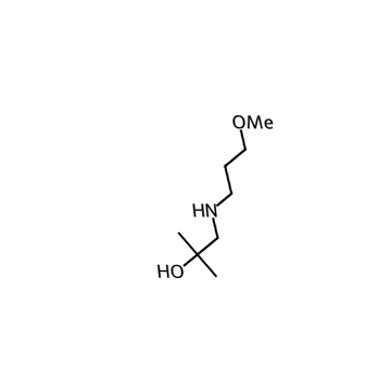 COCCCNCC(C)(C)O